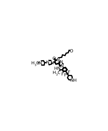 CC(Nc1ncnc2c1cc(N1CCN(C3CCN(C)CC3)CC1)c(=O)n2CCCCCCC=O)c1cccc(C(F)(F)C2CCNCC2)c1F